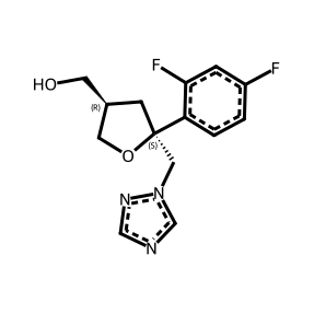 OC[C@@H]1CO[C@](Cn2cncn2)(c2ccc(F)cc2F)C1